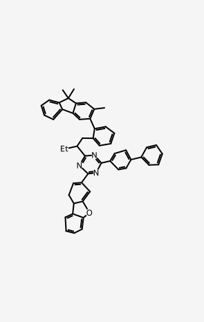 CCC(Cc1ccccc1-c1cc2c(cc1C)C(C)(C)c1ccccc1-2)c1nc(C2=CCC3C(=C2)Oc2ccccc23)nc(-c2ccc(-c3ccccc3)cc2)n1